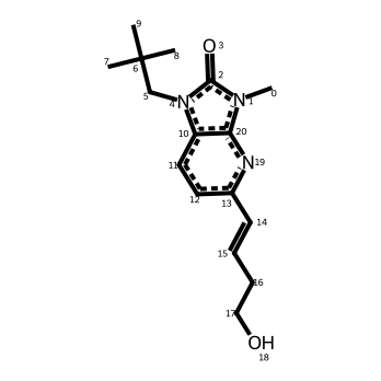 Cn1c(=O)n(CC(C)(C)C)c2ccc(C=CCCO)nc21